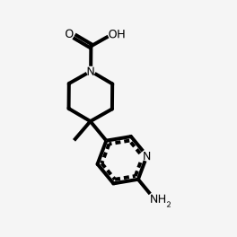 CC1(c2ccc(N)nc2)CCN(C(=O)O)CC1